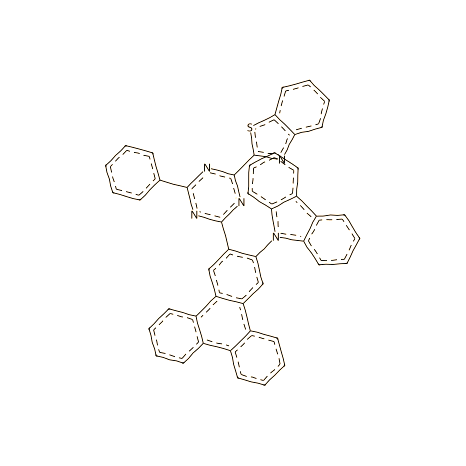 c1ccc(-c2nc(-c3nc4ccccc4s3)nc(-c3cc4c5ccccc5c5ccccc5c4cc3-n3c4ccccc4c4ccccc43)n2)cc1